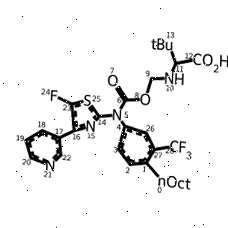 CCCCCCCCc1ccc(N(C(=O)OCNC(C(=O)O)C(C)(C)C)c2nc(-c3cccnc3)c(F)s2)cc1C(F)(F)F